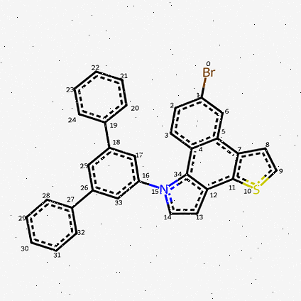 Brc1ccc2c(c1)c1ccsc1c1ccn(-c3cc(-c4ccccc4)cc(-c4ccccc4)c3)c21